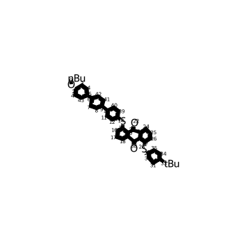 CCCCOc1ccc(-c2ccc(-c3ccc(Sc4cccc5c4C(=O)c4cccc(Sc6ccc(C(C)(C)C)cc6)c4C5=O)cc3)cc2)cc1